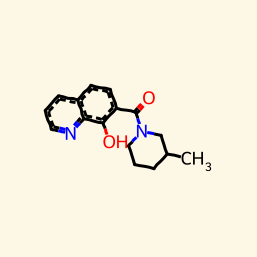 CC1CCCN(C(=O)c2ccc3cccnc3c2O)C1